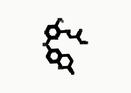 COC(=O)CNc1nc(Nc2ccc3c(c2)CCC(=O)N3)ncc1C(F)(F)F